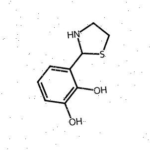 Oc1cccc(C2NCCS2)c1O